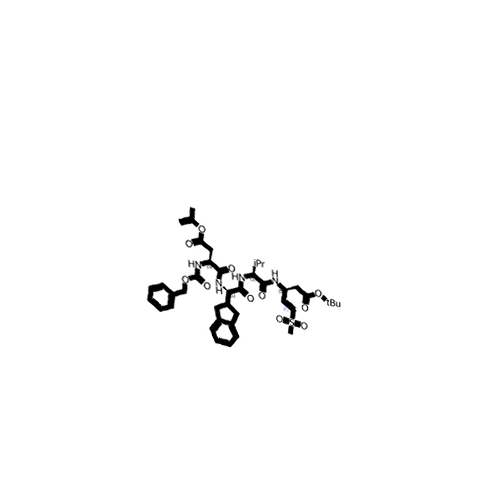 C=C(C)OC(=O)C[C@H](NC(=O)OCc1ccccc1)C(=O)N[C@H](C(=O)N[C@H](C(=O)N[C@H](/C=C/S(C)(=O)=O)CC(=O)OC(C)(C)C)C(C)C)C1Cc2ccccc2C1